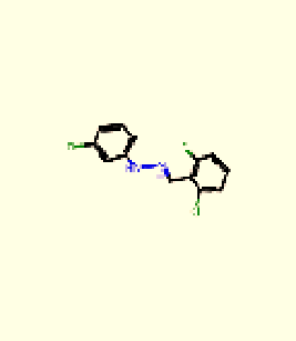 Fc1cccc(Cl)c1/C=N/Nc1cccc(Cl)c1